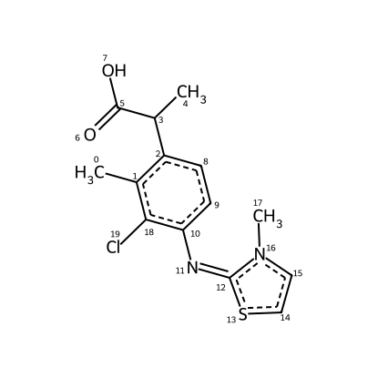 Cc1c(C(C)C(=O)O)ccc(N=c2sccn2C)c1Cl